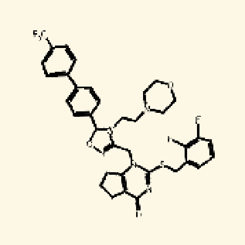 O=c1nc(SCc2cccc(F)c2F)n(CC2=NOC(c3ccc(-c4ccc(C(F)(F)F)cc4)cc3)N2CCN2CCOCC2)c2c1CCC2